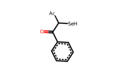 CC(=O)C([SeH])C(=O)c1ccccc1